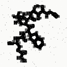 C#CCNC(=O)C(=O)C(CCC)NC(=O)[C@@H]1[C@@H]2[C@H](CN1C(=O)[C@@H](NC(=O)N[C@H](COC(=O)NCC)C(C)(C)C)C1Cc3ccccc3C1)C2(C)C